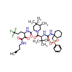 C#CCCNC(=O)C(=O)C(CCC(F)(F)F)NC(=O)[C@@H]1CC(C)(C)C(C)CN1C(=O)[C@@H](NC(=O)NC1(CS(=O)(=O)c2ccccc2)CCCCC1)C(C)(C)C